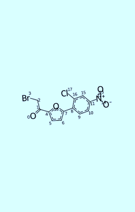 O=C(CBr)c1ccc(-c2ccc([N+](=O)[O-])cc2Cl)o1